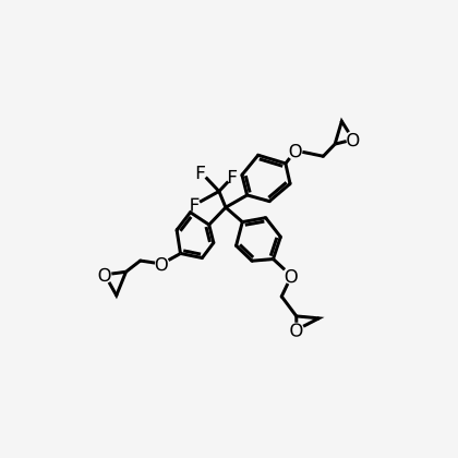 FC(F)(F)C(c1ccc(OCC2CO2)cc1)(c1ccc(OCC2CO2)cc1)c1ccc(OCC2CO2)cc1